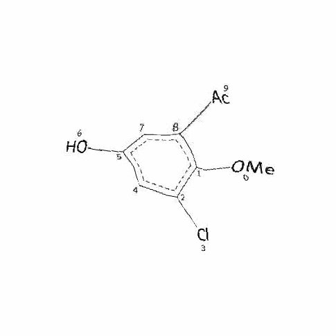 COc1c(Cl)cc(O)cc1C(C)=O